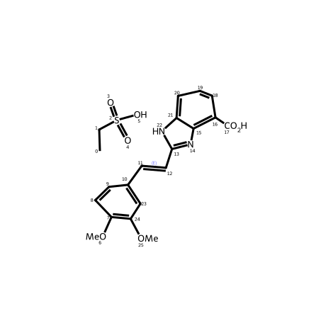 CCS(=O)(=O)O.COc1ccc(/C=C/c2nc3c(C(=O)O)cccc3[nH]2)cc1OC